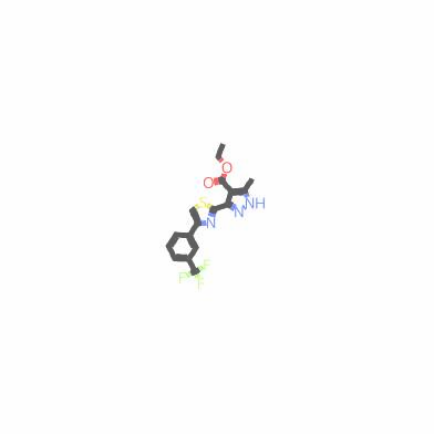 CCOC(=O)c1c(-c2nc(-c3cccc(C(F)(F)F)c3)cs2)n[nH]c1C